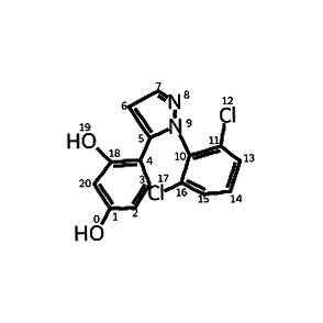 Oc1ccc(-c2ccnn2-c2c(Cl)cccc2Cl)c(O)c1